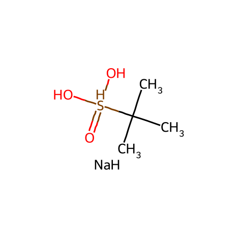 CC(C)(C)[SH](=O)(O)O.[NaH]